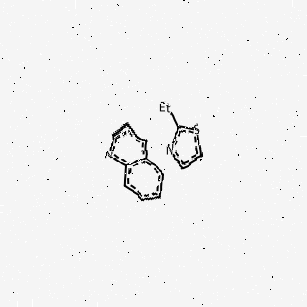 CCc1nccs1.c1ccc2ncccc2c1